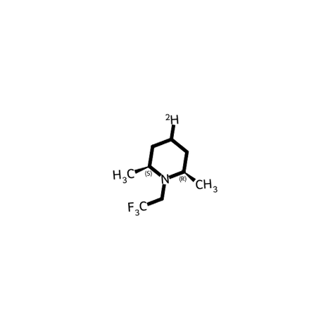 [2H]C1C[C@@H](C)N(CC(F)(F)F)[C@@H](C)C1